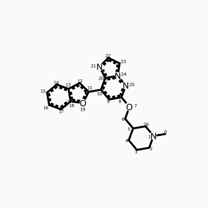 CN1CCCC(COc2cc(-c3cc4ccccc4o3)c3nccn3n2)C1